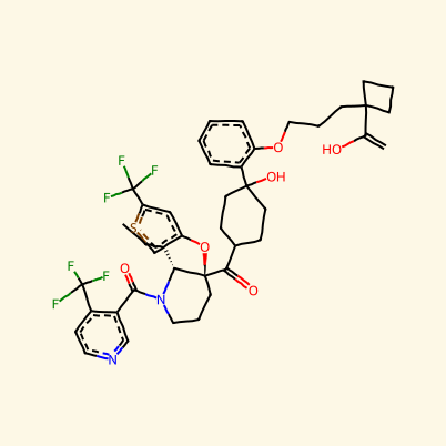 C=C(O)C1(CCCOc2ccccc2C2(O)CCC(C(=O)[C@]3(Oc4csc(C(F)(F)F)c4)CCCN(C(=O)c4cnccc4C(F)(F)F)[C@@H]3CCC)CC2)CCC1